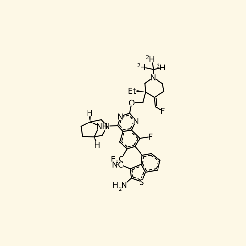 [2H]C([2H])([2H])N1CC/C(=C\F)[C@](CC)(COc2nc(N3C[C@H]4CC[C@@H](C3)N4)c3cc(C(F)(F)F)c(-c4cccc5sc(N)c(C#N)c45)c(F)c3n2)C1